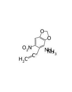 C=C=Cc1cc2c(cc1[N+](=O)[O-])OCO2.N.N